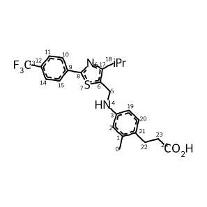 Cc1cc(NCc2sc(-c3ccc(C(F)(F)F)cc3)nc2C(C)C)ccc1CCC(=O)O